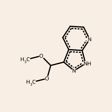 COC(OC)c1n[nH]c2ncccc12